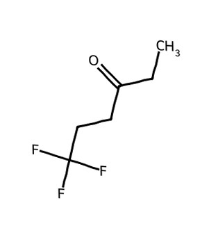 CCC(=O)CCC(F)(F)F